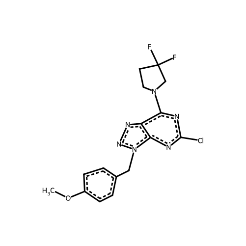 COc1ccc(Cn2nnc3c(N4CCC(F)(F)C4)nc(Cl)nc32)cc1